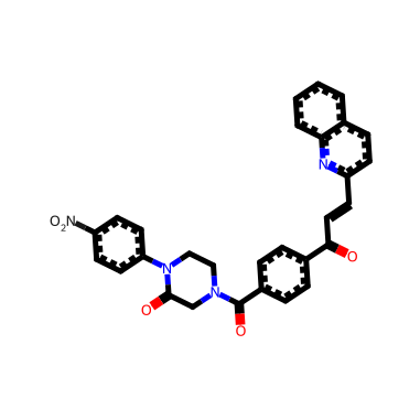 O=C(C=Cc1ccc2ccccc2n1)c1ccc(C(=O)N2CCN(c3ccc([N+](=O)[O-])cc3)C(=O)C2)cc1